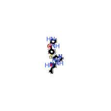 O=C(NC1CCNCC1)c1ccc(Sc2cc3nccn3c(Nc3cc(C4CC4)[nH]n3)n2)cc1